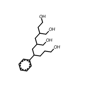 OCCCC(CC(CO)CC(CO)CCO)c1ccccc1